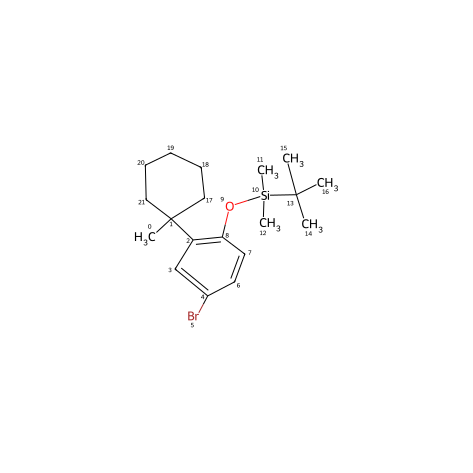 CC1(c2cc(Br)ccc2O[Si](C)(C)C(C)(C)C)CCCCC1